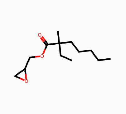 CCCCCC(C)(CC)C(=O)OCC1CO1